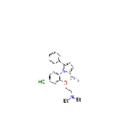 CCN(CC)CCOc1ccccc1-n1c(C)ccc1-c1ccccc1.Cl